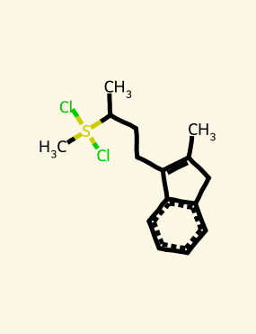 CC1=C(CCC(C)S(C)(Cl)Cl)c2ccccc2C1